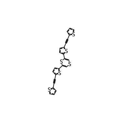 C(#Cc1ccc(C2=CSC=C(c3ccc(C#Cc4cccs4)s3)S2)s1)c1cccs1